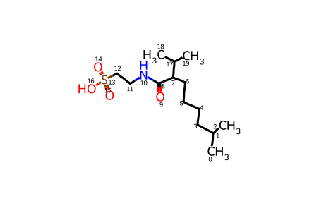 CC(C)CCCCC(C(=O)NCCS(=O)(=O)O)C(C)C